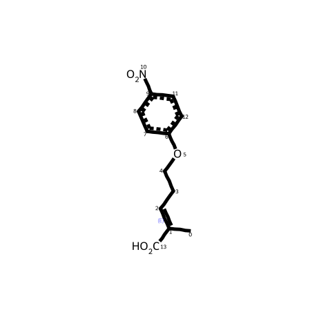 C/C(=C\CCOc1ccc([N+](=O)[O-])cc1)C(=O)O